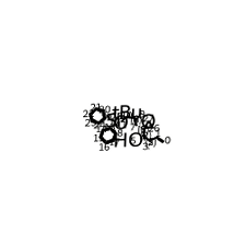 C=C[C@H](C)[C@@H](O)[C@]1(C[C@@H](C)CO[Si](c2ccccc2)(c2ccccc2)C(C)(C)C)CO1